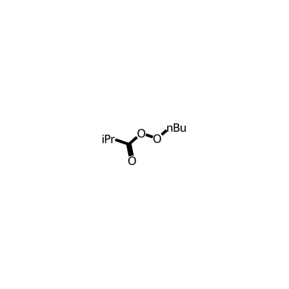 CCCCOOC(=O)C(C)C